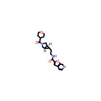 O=C(NCCC1[C@H]2CN(C(=O)C3CCOCC3)C[C@@H]12)c1cc2ccncc2o1